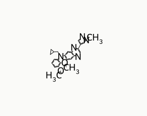 COc1cccc(N(CC2CC2)c2ccc3ncc(-c4cnn(C)c4)nc3c2)c1OC